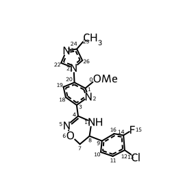 COc1nc(C2=NOCC(c3ccc(Cl)c(F)c3)N2)ccc1-n1cnc(C)c1